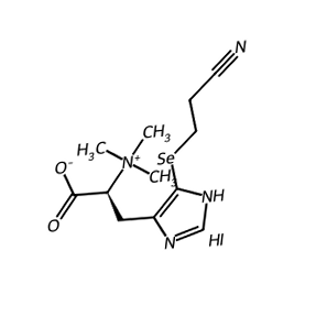 C[N+](C)(C)[C@@H](Cc1nc[nH]c1[Se]CCC#N)C(=O)[O-].I